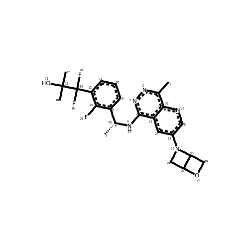 Cc1nnc(N[C@H](C)c2cccc(C(F)(F)C(C)(C)O)c2F)c2cc(N3CC4OCC43)cnc12